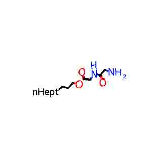 CCCCCCCCCCOC(=O)CNC(=O)CN